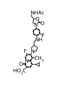 CC(=O)NCC1CN(c2ccc(NCC3CCN(c4c(F)cn5c(=O)c(C(=O)O)cc(C6CC6)c5c4C)C3)c(F)c2)C(=O)O1